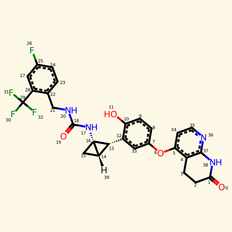 O=C1CCc2c(Oc3ccc(O)c([C@@H]4[C@@H]5C[C@@]45NC(=O)NCc4ccc(F)cc4C(F)(F)F)c3)ccnc2N1